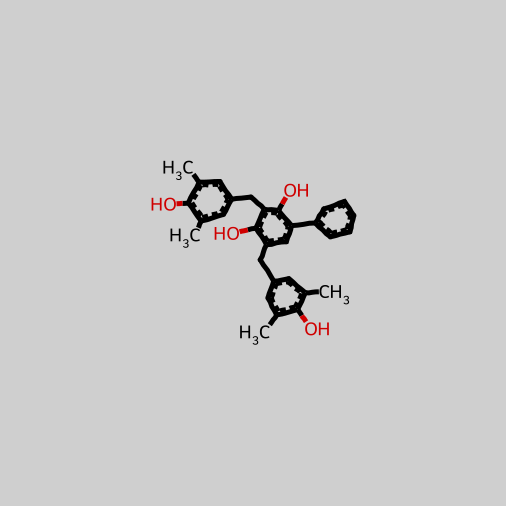 Cc1cc(Cc2cc(-c3ccccc3)c(O)c(Cc3cc(C)c(O)c(C)c3)c2O)cc(C)c1O